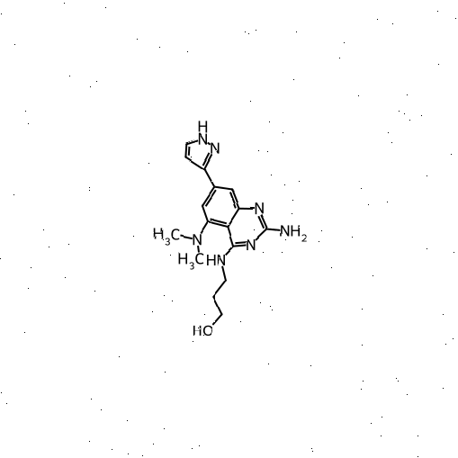 CN(C)c1cc(-c2cc[nH]n2)cc2nc(N)nc(NCCCO)c12